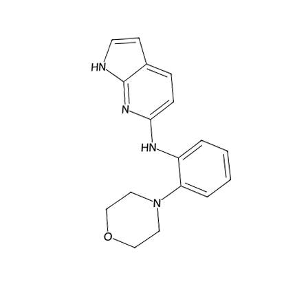 c1ccc(N2CCOCC2)c(Nc2ccc3cc[nH]c3n2)c1